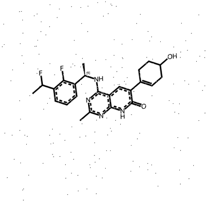 Cc1nc(N[C@H](C)c2cccc(C(C)F)c2F)c2cc(C3=CCC(O)CC3)c(=O)[nH]c2n1